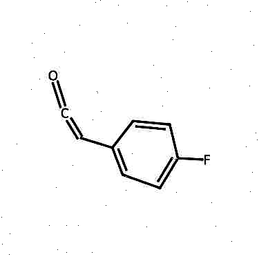 O=C=Cc1ccc(F)cc1